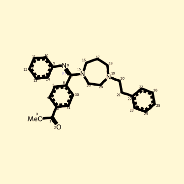 COC(=O)c1ccc(/C(=N\c2ccccc2)N2CCCN(CCc3ccccc3)CC2)cc1